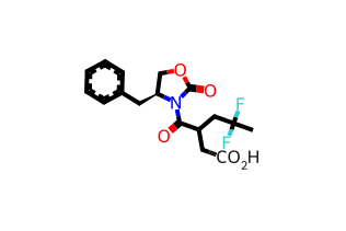 CC(F)(F)CC(CC(=O)O)C(=O)N1C(=O)OC[C@@H]1Cc1ccccc1